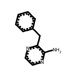 Nc1nccnc1Cc1ccccc1